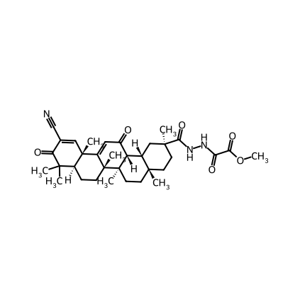 COC(=O)C(=O)NNC(=O)[C@@]1(C)CC[C@]2(C)CC[C@]3(C)[C@H](C(=O)C=C4[C@@]5(C)C=C(C#N)C(=O)C(C)(C)[C@@H]5CC[C@]43C)[C@@H]2C1